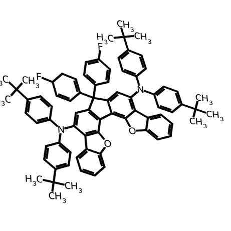 CC(C)(C)c1ccc(N(c2ccc(C(C)(C)C)cc2)c2cc3c(c4oc5ccccc5c24)-c2c(cc(N(c4ccc(C(C)(C)C)cc4)c4ccc(C(C)(C)C)cc4)c4c2oc2ccccc24)C3(C2=CCC(F)C=C2)c2ccc(F)cc2)cc1